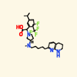 CC(C)c1cc(F)c(C(F)(F)F)c(C(C(=O)O)N2CC[C@@H](N(C)CCCCCc3ccc4c(n3)NCCC4)C2)c1